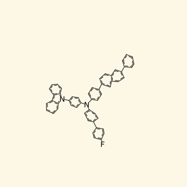 Fc1ccc(-c2ccc(N(c3ccc(-c4ccc5cc(-c6ccccc6)ccc5c4)cc3)c3ccc(-n4c5ccccc5c5ccccc54)cc3)cc2)cc1